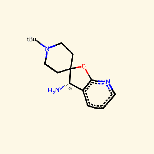 CC(C)(C)N1CCC2(CC1)Oc1ncccc1[C@@H]2N